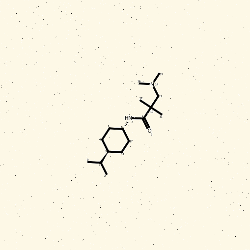 CC(C)[C@H]1CC[C@H](NC(=O)C(C)(C)CN(C)C)CC1